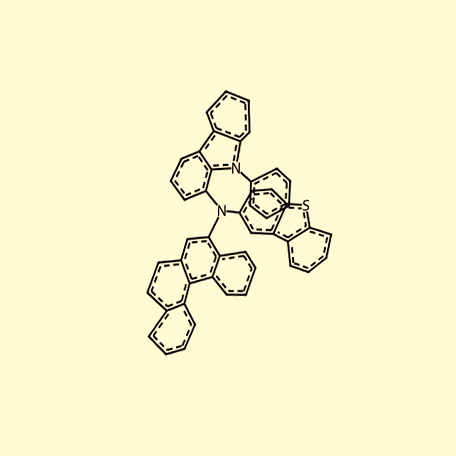 c1ccc(-n2c3ccccc3c3cccc(N(c4ccc5sc6ccccc6c5c4)c4cc5ccc6ccccc6c5c5ccccc45)c32)cc1